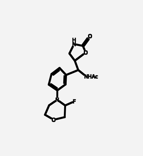 CC(=O)NC(c1cccc(N2CCOCC2F)c1)C1CNC(=O)O1